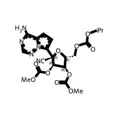 COC(=O)O[C@H]1[C@@H](OC(=O)OC)[C@](C#N)(c2ccc3c(N)ncnn23)O[C@@H]1COC(=O)OC(C)C